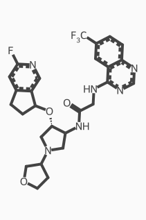 O=C(CNc1ncnc2ccc(C(F)(F)F)cc12)NC1CN(C2CCOC2)C[C@@H]1OC1CCc2cc(F)ncc21